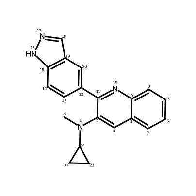 CN(c1cc2ccccc2nc1-c1ccc2[nH]ncc2c1)C1CC1